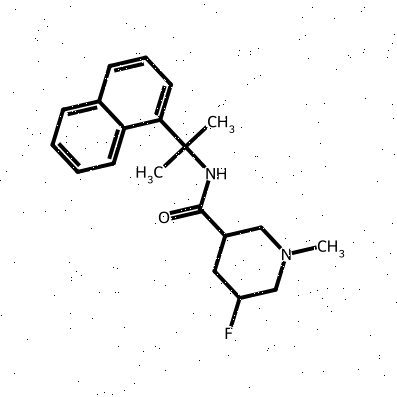 CN1CC(F)CC(C(=O)NC(C)(C)c2cccc3ccccc23)C1